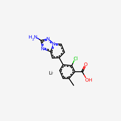 Cc1ccc(-c2ccn3nc(N)nc3c2)c(Cl)c1C(=O)O.[Li]